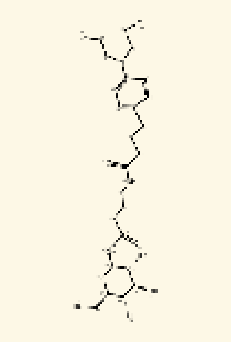 O=C(CCCc1ccc(N(CCCl)CCCl)cc1)NCCCC(=O)N[C@@H]1O[C@H](CO)[C@@H](O)[C@H](O)[C@H]1F